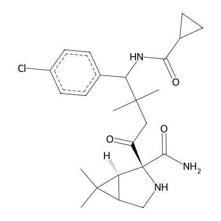 CC(C)(CC(=O)[C@@]1(C(N)=O)NCC2[C@H]1C2(C)C)C(NC(=O)C1CC1)c1ccc(Cl)cc1